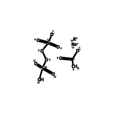 CC(=O)[O-].O=S(=O)([O-])OOS(=O)(=O)O.[K+].[Na+]